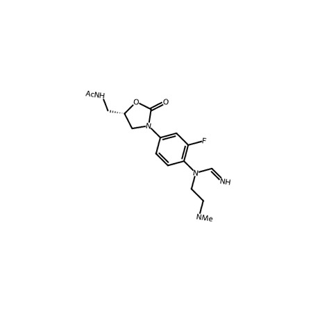 CNCCN(C=N)c1ccc(N2C[C@H](CNC(C)=O)OC2=O)cc1F